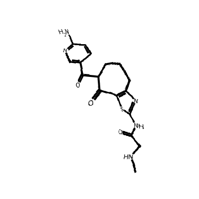 CNCC(=O)Nc1nc2c(s1)C(=O)C(C(=O)c1ccc(N)nc1)CCC2